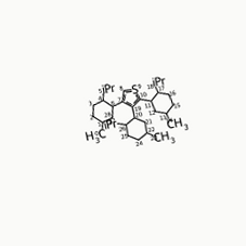 CC1CCC(C(C)C)C(c2csc(C3CC(C)CCC3C(C)C)c2C2CC(C)CCC2C(C)C)C1